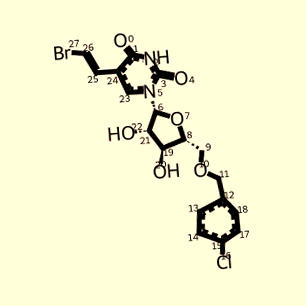 O=c1[nH]c(=O)n([C@@H]2O[C@H](COCc3ccc(Cl)cc3)[C@@H](O)[C@@H]2O)cc1/C=C/Br